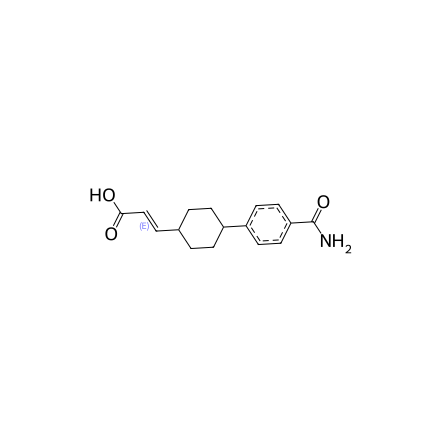 NC(=O)c1ccc(C2CCC(/C=C/C(=O)O)CC2)cc1